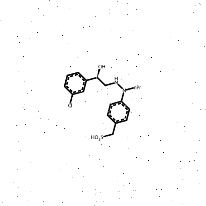 CCCN(NC[C@H](O)c1cccc(Cl)c1)c1ccc(CS(=O)(=O)O)cc1